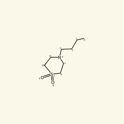 CCCCN1CCS(=O)(=O)CC1